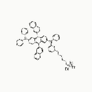 CC[N+](CC)(CC)CCCCCCc1cccc(N(c2ccccc2)c2ccc3c(-c4ccc5ccccc5c4)c4cc(N(c5ccccc5)c5ccccc5)ccc4c(-c4ccc5ccccc5c4)c3c2)c1